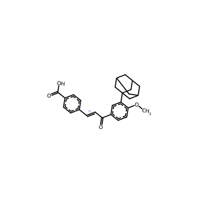 COc1ccc(C(=O)/C=C/c2ccc(C(=O)O)cc2)cc1C12CC3CC(CC(C3)C1)C2